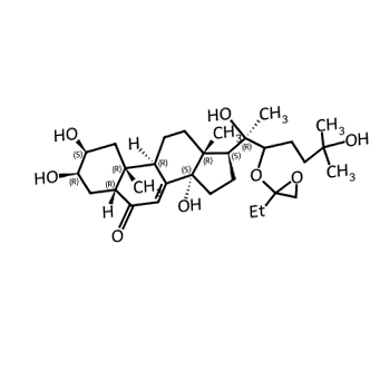 CCC1(OC(CCC(C)(C)O)[C@](C)(O)[C@H]2CC[C@@]3(O)C4=CC(=O)[C@@H]5C[C@@H](O)[C@@H](O)C[C@]5(C)[C@H]4CC[C@]23C)CO1